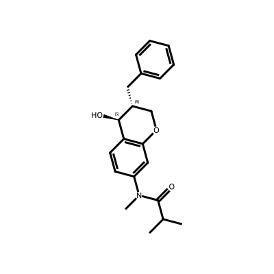 CC(C)C(=O)N(C)c1ccc2c(c1)OC[C@@H](Cc1ccccc1)[C@@H]2O